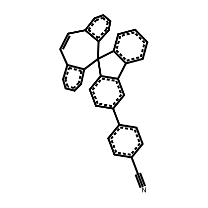 N#Cc1ccc(-c2ccc3c(c2)-c2ccccc2C32c3ccccc3C=Cc3ccccc32)cc1